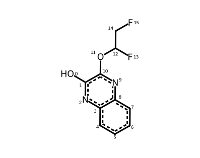 Oc1nc2ccccc2nc1OC(F)CF